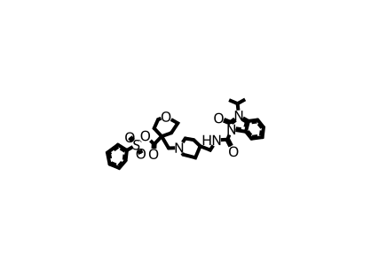 CC(C)n1c(=O)n(C(=O)NCC2CCN(CC3(C(=O)OS(=O)(=O)c4ccccc4)CCOCC3)CC2)c2ccccc21